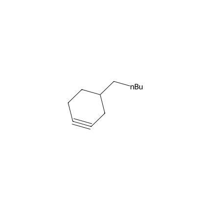 CCCCCC1CC#CCC1